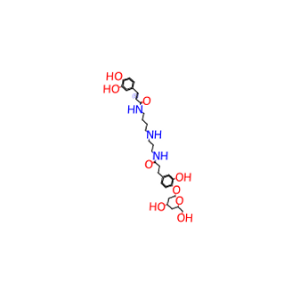 O=C(/C=C/c1ccc(O)c(O)c1)NCCCCNCCCNC(=O)CCc1ccc(OC2CC(O)CC(CO)O2)c(O)c1